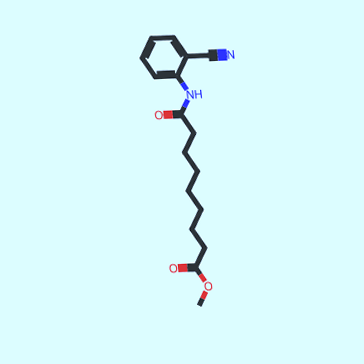 COC(=O)CCCCCCCC(=O)Nc1ccccc1C#N